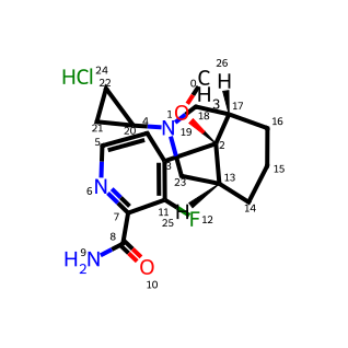 CO[C@]1(c2ccnc(C(N)=O)c2F)[C@@H]2CCC[C@H]1CN(C1CC1)C2.Cl